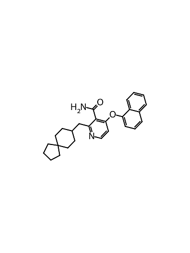 NC(=O)c1c(Oc2cccc3ccccc23)ccnc1CC1CCC2(CCCC2)CC1